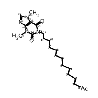 CC(=O)CCCCCCCCCCCCn1c(=O)c2c(ncn2C)n(C)c1=O